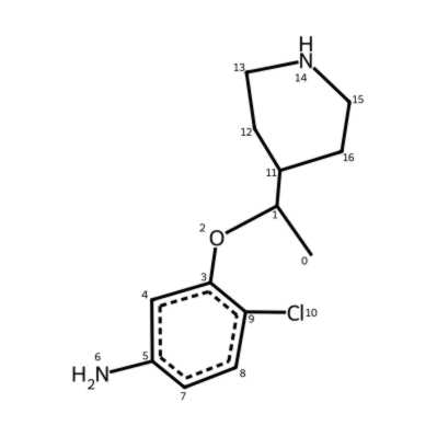 CC(Oc1cc(N)ccc1Cl)C1CCNCC1